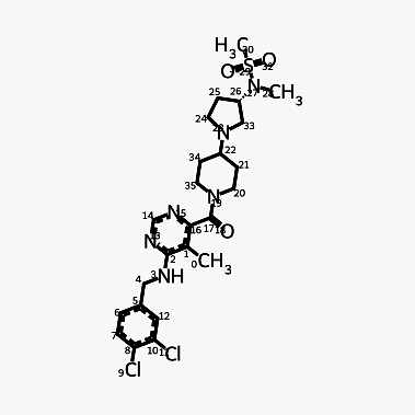 Cc1c(NCc2ccc(Cl)c(Cl)c2)ncnc1C(=O)N1CCC(N2CC[C@H](N(C)S(C)(=O)=O)C2)CC1